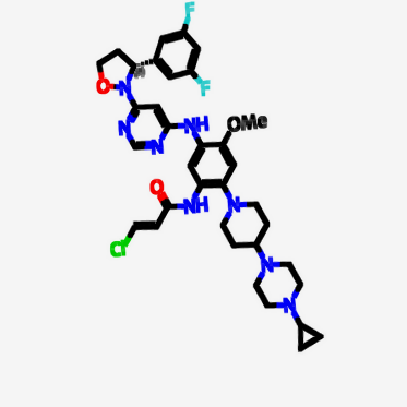 COc1cc(N2CCC(N3CCN(C4CC4)CC3)CC2)c(NC(=O)C=CCl)cc1Nc1cc(N2OCC[C@@H]2c2cc(F)cc(F)c2)ncn1